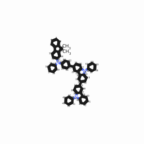 CC1(C)c2ccccc2-c2ccc(N(c3ccccc3)c3ccc(-c4ccc5c(c4)c4cc(-c6ccc7c(c6)c6ccccc6n7-c6ccccc6)ccc4n5-c4ccccc4)cc3)cc21